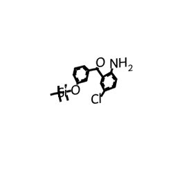 CC(C)(C)[Si](C)(C)Oc1cccc(C(=O)c2cc(Cl)ccc2N)c1